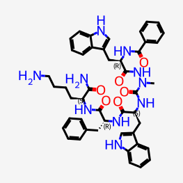 CN(NC(=O)[C@@H](Cc1c[nH]c2ccccc12)NC(=O)c1ccccc1)C(=O)N[C@@H](Cc1c[nH]c2ccccc12)C(=O)N[C@H](Cc1ccccc1)C(=O)N[C@@H](CCCCN)C(N)=O